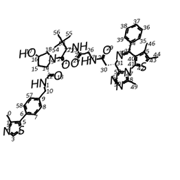 Cc1ncsc1-c1ccc(CNC(=O)[C@@H]2C[C@@H](O)CN2C(=O)[C@@H](NC(=O)CNC(=O)C[C@@H]2N=C(c3ccccc3)c3c(sc(C)c3C)-n3c(C)nnc32)C(C)(C)C)cc1